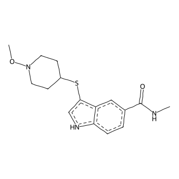 CNC(=O)c1ccc2[nH]cc(SC3CCN(OC)CC3)c2c1